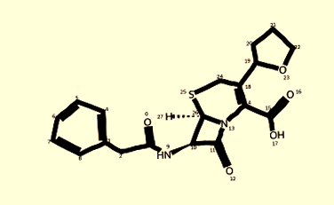 O=C(Cc1ccccc1)N[C@@H]1C(=O)N2C(C(=O)O)=C(C3CCCO3)CS[C@H]12